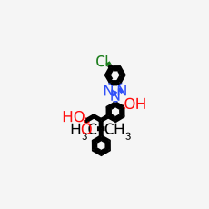 CC(C)(c1ccccc1)C(CC(=O)O)c1ccc(O)c(-n2nc3ccc(Cl)cc3n2)c1